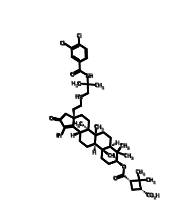 CC(C)C1=C2[C@H]3CC[C@@H]4[C@@]5(C)CC[C@H](OC(=O)[C@H]6C[C@@H](C(=O)O)C6(C)C)C(C)(C)[C@@H]5CC[C@@]4(C)[C@]3(C)CC[C@@]2(CCNCC(C)(C)NC(=O)c2ccc(Cl)c(Cl)c2)CC1=O